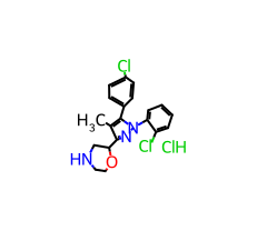 Cc1c(C2CNCCO2)nn(-c2ccccc2Cl)c1-c1ccc(Cl)cc1.Cl